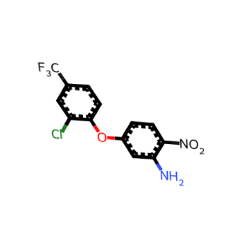 Nc1cc(Oc2ccc(C(F)(F)F)cc2Cl)ccc1[N+](=O)[O-]